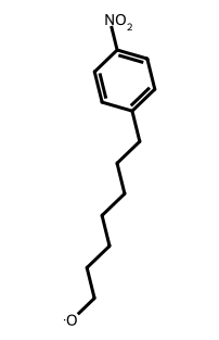 [O]CCCCCCCc1ccc([N+](=O)[O-])cc1